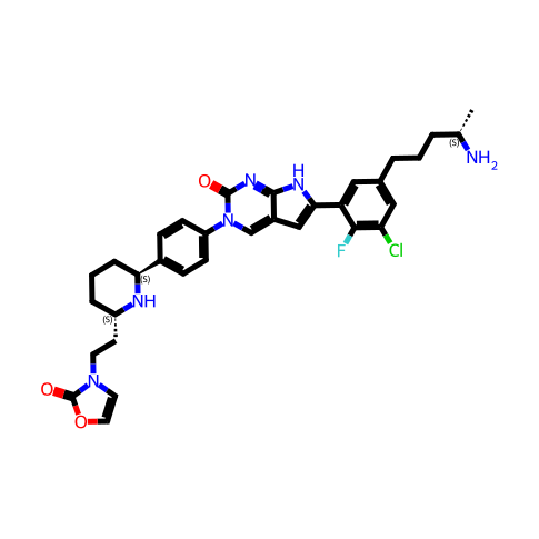 C[C@H](N)CCCc1cc(Cl)c(F)c(-c2cc3cn(-c4ccc([C@@H]5CCC[C@@H](CCn6ccoc6=O)N5)cc4)c(=O)nc3[nH]2)c1